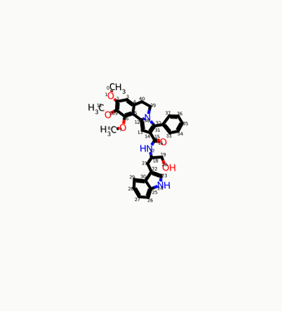 COc1cc2c(c(OC)c1OC)-c1cc(C(=O)NC(CO)Cc3c[nH]c4ccccc34)c(-c3ccccc3)n1CC2